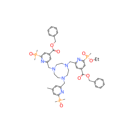 CCOP(C)(=O)c1cc(C(=O)OCc2ccccc2)cc(CN2CCN(Cc3cc(C)cc(P(C)(C)=O)n3)CCN(Cc3cc(C(=O)OCc4ccccc4)cc(P(C)(C)=O)n3)CC2)n1